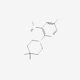 CC1(O)CCN(c2ncc(Cl)cc2[N+](=O)[O-])CC1